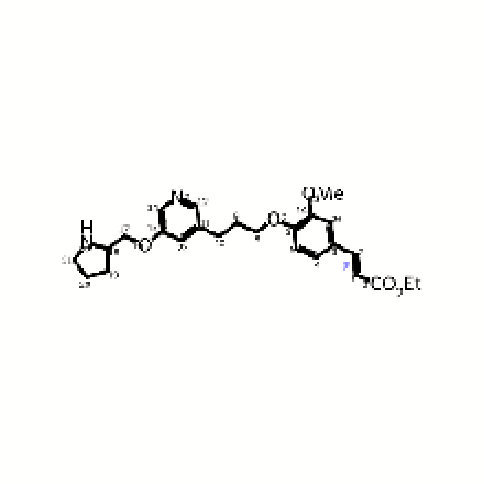 CCOC(=O)/C=C/c1ccc(OCCCc2cncc(OCC3CCCN3)c2)c(OC)c1